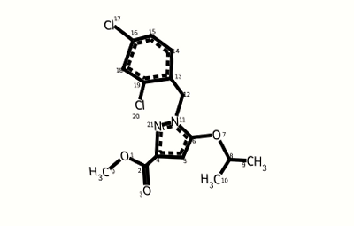 COC(=O)c1cc(OC(C)C)n(Cc2ccc(Cl)cc2Cl)n1